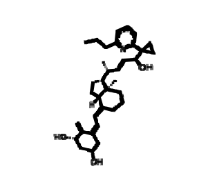 C=C1/C(=C\C=C2/CCC[C@]3(C)[C@@H]([C@H](C)/C=C/[C@H](O)C4(c5cccc(CCC)n5)CC4)CC[C@@H]23)C[C@@H](O)C[C@@H]1O